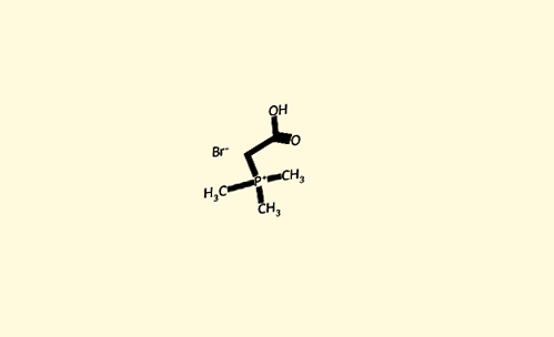 C[P+](C)(C)CC(=O)O.[Br-]